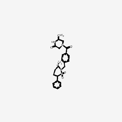 CC1CN(C(=O)c2ccc(CN3[C@@H](C)CCC(c4ccccc4)S3(=O)=O)cc2)CC(=O)N1